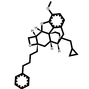 COc1ccc2c3c1O[C@H]1[C@H]4CO[C@@]4(CCCCc4ccccc4)C[C@H]4[C@@H](C2)N(CC2CC2)CC[C@@]341